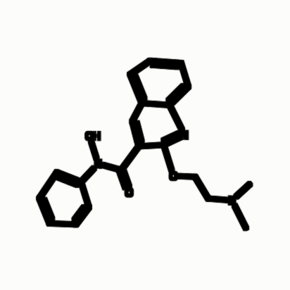 CN(C)CCOc1nc2ccccc2cc1C(=O)N(O)c1ccccc1